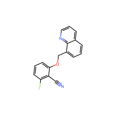 N#Cc1c(F)cccc1OCc1cccc2cccnc12